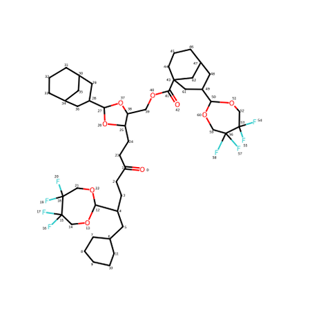 O=C(CCC(CC1CCCCC1)C1OCC(F)(F)C(F)(F)CO1)CCC1OC(C2CC3CCCC(C3)C2)OC1COC(=O)C12CCCC(CC(C3OCC(F)(F)C(F)(F)CO3)C1)C2